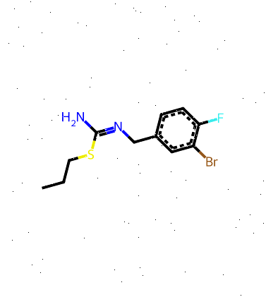 CCCS/C(N)=N\Cc1ccc(F)c(Br)c1